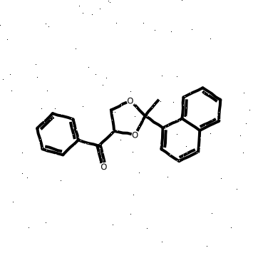 CC1(c2cccc3ccccc23)OCC(C(=O)c2ccccc2)O1